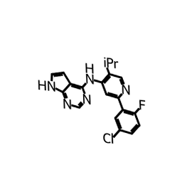 CC(C)c1cnc(-c2cc(Cl)ccc2F)cc1Nc1ncnc2[nH]ccc12